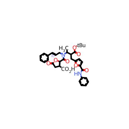 CC(C(Cc1ccc(C(=O)Nc2ccccc2)o1)C(=O)OC(C)(C)C)N(C/C=C/c1ccccc1)C(=O)C1OC(=O)CC1C(=O)O